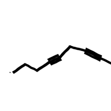 [CH2]CCC#CCC#CC